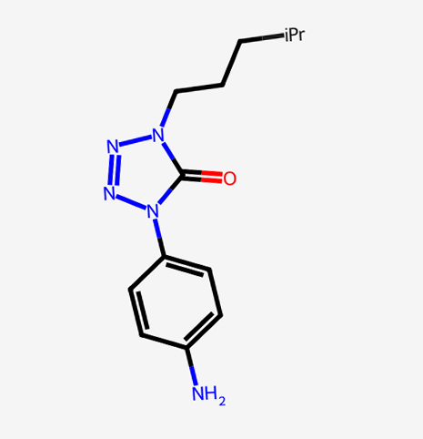 CC(C)CCCn1nnn(-c2ccc(N)cc2)c1=O